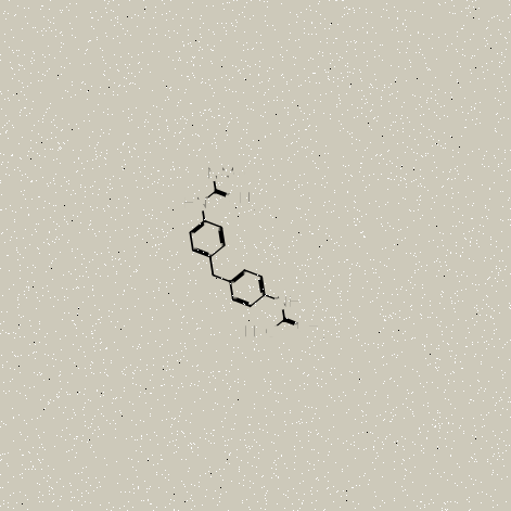 C=C(C)Nc1ccc(Cc2ccc(NC(=C)NC)cc2)cc1